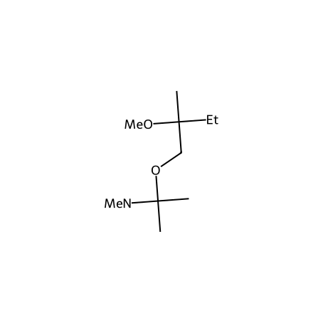 CCC(C)(COC(C)(C)NC)OC